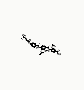 CC(C)Oc1cc(C(=O)O)ccc1NC(=O)c1ccc(NC(=O)c2ccc(NC(=O)CCC(=O)O)cc2)c(OC(C)C)c1O